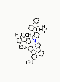 CC(C)(C)c1ccc2c(c1)-c1cc(C(C)(C)C)ccc1C21c2ccccc2-c2ccc(N(c3cccc(-c4cccc5c4C(C)(C)c4ccccc4-5)c3)c3ccc4c(c3)C(C)(C)c3ccccc3-4)cc21